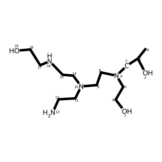 CC(O)CN(CCO)CCN(CCN)CCNCCO